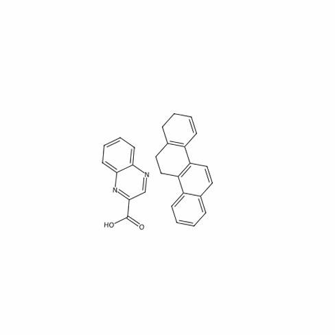 C1=CC2=C(CC1)CCc1c2ccc2ccccc12.O=C(O)c1cnc2ccccc2n1